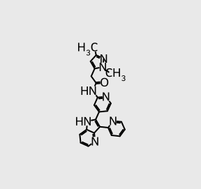 Cc1cc(CC(=O)Nc2cc(-c3[nH]c4cccnc4c3-c3ccccn3)ccn2)n(C)n1